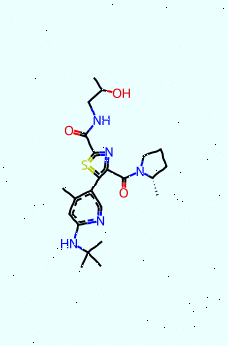 Cc1cc(NC(C)(C)C)ncc1-c1sc(C(=O)NCC(C)O)nc1C(=O)N1CCC[C@@H]1C